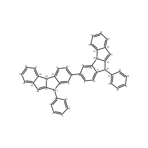 c1ccc(-n2c3cc(-c4ccc5c(c4)n4c6ccccc6cc4n5-c4ccccc4)ccc3n3c4ccccc4cc23)cc1